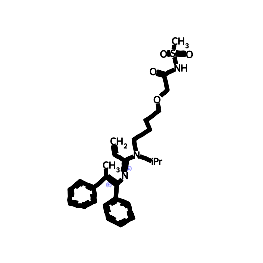 C=C/C(=N\C(=C(/C)c1ccccc1)c1ccccc1)N(CCCCOCC(=O)NS(C)(=O)=O)C(C)C